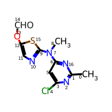 Cc1nc(Cl)cc(N(C)c2ncc(OC=O)s2)n1